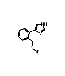 CC(C)NCc1ccccc1-c1c[nH]cn1